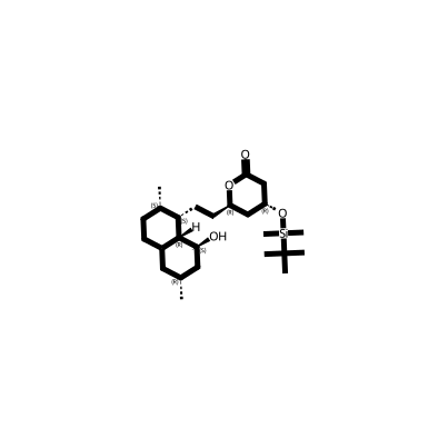 C[C@@H]1CC2CC[C@H](C)[C@H](CC[C@@H]3C[C@@H](O[Si](C)(C)C(C)(C)C)CC(=O)O3)[C@@H]2[C@@H](O)C1